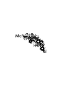 CNC(C)C(=O)NC(C(=O)N1CCCC1C(=O)Nc1cc2c(Nc3ccc(Cl)cc3F)ncnc2cc1OC)C(C)(C)C.Cl